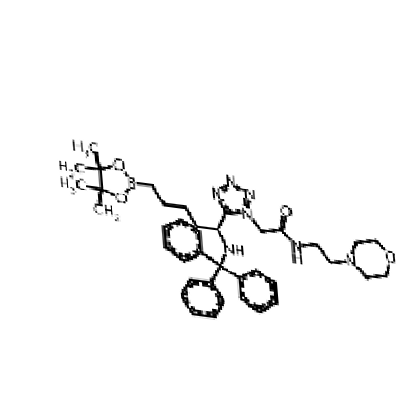 CC1(C)OB(CCCCC(NC(c2ccccc2)(c2ccccc2)c2ccccc2)c2nnnn2CC(=O)NCCN2CCOCC2)OC1(C)C